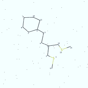 CSCC(CCC1CCCCC1)CSC